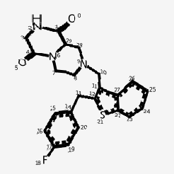 O=C1NCC(=O)N2CCN(Cc3c(Cc4ccc(F)cc4)sc4ccccc34)CC12